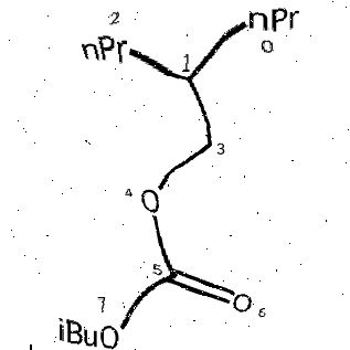 CCCC(CCC)COC(=O)OCC(C)C